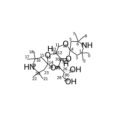 CC1(C)CC2(CC(C)(C)N1)OC[C@@H]1OC3(CC(C)(C)NC(C)(C)C3)O[C@H]([C@H](O)CO)[C@@H]1O2